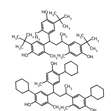 Cc1cc(O)c(C(C)(C)C)cc1C(C)CC(c1cc(C(C)(C)C)c(O)cc1C)c1cc(C(C)(C)C)c(O)cc1C.Cc1cc(O)c(C2CCCCC2)cc1C(C)CC(c1cc(C2CCCCC2)c(O)cc1C)c1cc(C2CCCCC2)c(O)cc1C